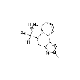 [2H]C([2H])([2H])N1Cc2nn(C)nc2-c2cccc(N)c21